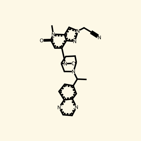 CC(c1ccc2nccnc2c1)N1CC2CCC1CN2c1cc(=O)n(C)c2cn(CC#N)nc12